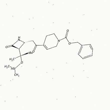 C[SiH](C)O[C@](C)([C@H]1C(=O)N[C@@H]1CC(=O)C1=CCN(C(=O)OCc2ccccc2)CC1)C(C)(C)C